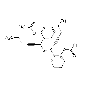 CCCC#CC(SC(C#CCCC)c1ccccc1OC(C)=O)c1ccccc1OC(C)=O